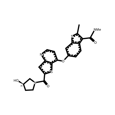 CNC(=O)c1c(C)sc2cc(Oc3ccnc4cc(C(=O)N5CC[C@@H](O)C5)sc34)ccc12